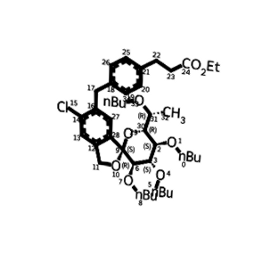 CCCCO[C@H]1[C@H](OCCCC)[C@@H](OCCCC)[C@@]2(OCc3cc(Cl)c(Cc4ccc(CCC(=O)OCC)cc4)cc32)O[C@@H]1[C@@H](C)OCCCC